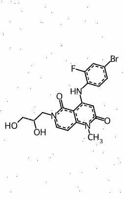 Cn1c(=O)cc(Nc2ccc(Br)cc2F)c2c(=O)n(CC(O)CO)ccc21